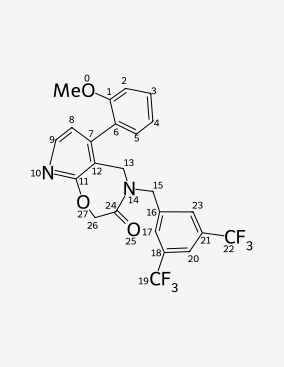 COc1ccccc1-c1ccnc2c1CN(Cc1cc(C(F)(F)F)cc(C(F)(F)F)c1)C(=O)CO2